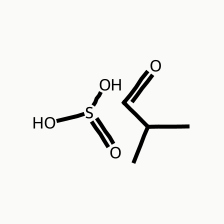 CC(C)C=O.O=S(O)O